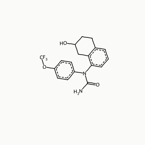 NC(=O)N(c1ccc(OC(F)(F)F)cc1)c1cccc2c1CC(O)CC2